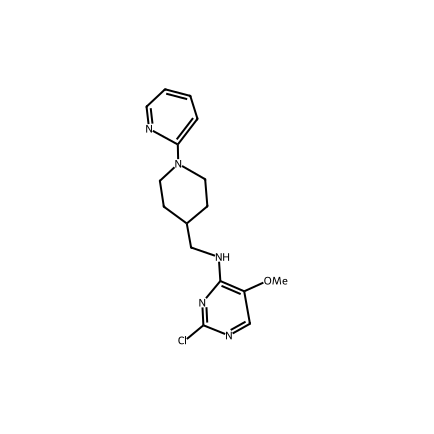 COc1cnc(Cl)nc1NCC1CCN(c2ccccn2)CC1